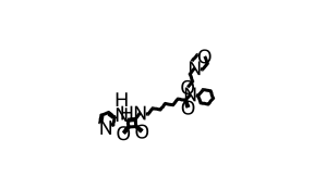 O=C(CCCCCCNc1c(Nc2cccnc2)c(=O)c1=O)N(OCCN1CCOCC1)C1CCCCC1